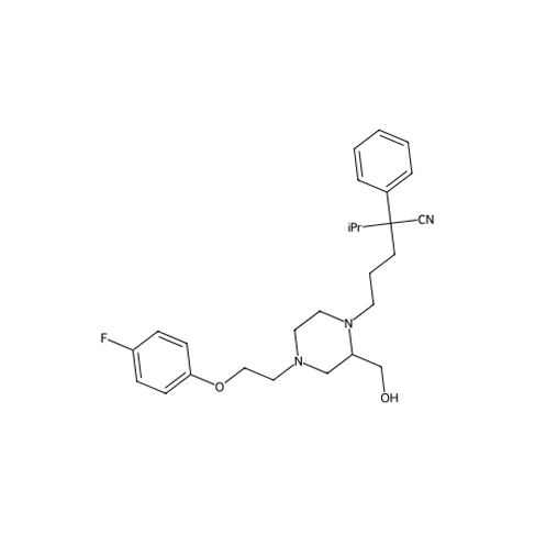 CC(C)C(C#N)(CCCN1CCN(CCOc2ccc(F)cc2)CC1CO)c1ccccc1